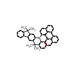 CC1(C)c2ccccc2-c2cc3c(cc21)N(c1ccc2cccc4c5cccc6cccc(c1c24)c65)c1ccccc1C3(C)C